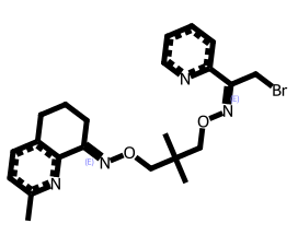 Cc1ccc2c(n1)/C(=N/OCC(C)(C)CO/N=C(/CBr)c1ccccn1)CCC2